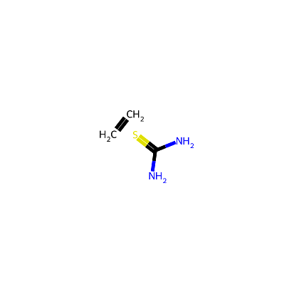 C=C.NC(N)=S